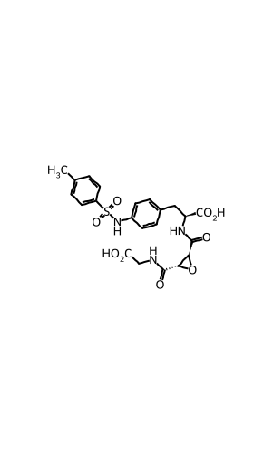 Cc1ccc(S(=O)(=O)Nc2ccc(C[C@H](NC(=O)[C@H]3O[C@@H]3C(=O)NCC(=O)O)C(=O)O)cc2)cc1